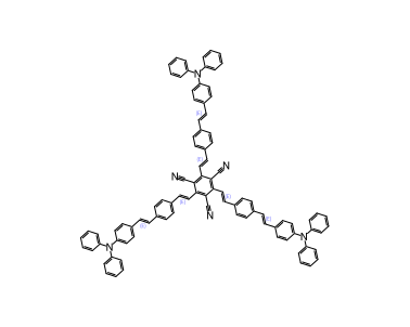 N#Cc1c(/C=C/c2ccc(/C=C/c3ccc(N(c4ccccc4)c4ccccc4)cc3)cc2)c(C#N)c(/C=C/c2ccc(/C=C/c3ccc(N(c4ccccc4)c4ccccc4)cc3)cc2)c(C#N)c1/C=C/c1ccc(/C=C/c2ccc(N(c3ccccc3)c3ccccc3)cc2)cc1